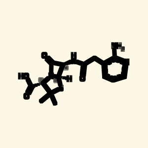 CC1(C)S[C@@H]2[C@H](NC(=O)Cc3cccnc3N)C(=O)N2[C@H]1C(=O)O